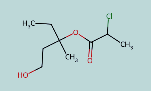 CCC(C)(CCO)OC(=O)C(C)Cl